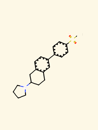 CS(=O)(=O)c1ccc(-c2ccc3c(c2)CCC(N2CCCC2)C3)cc1